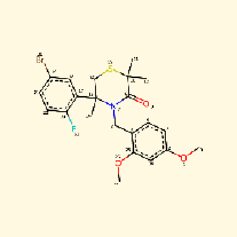 COc1ccc(CN2C(=O)C(C)(C)SCC2(C)c2cc(Br)ccc2F)c(OC)c1